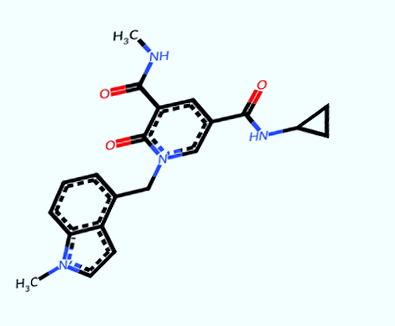 CNC(=O)c1cc(C(=O)NC2CC2)cn(Cc2cccc3c2ccn3C)c1=O